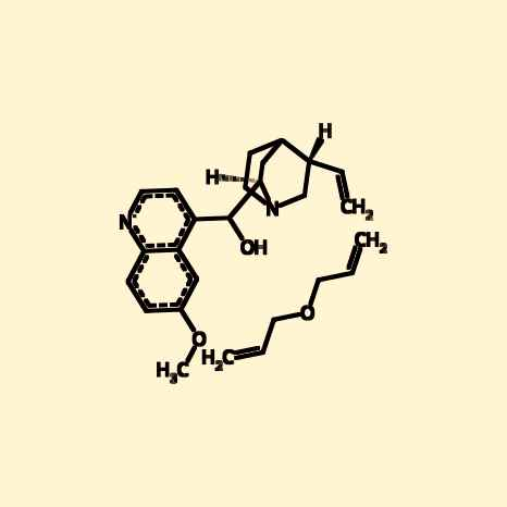 C=CCOCC=C.C=C[C@@H]1CN2CCC1C[C@@H]2C(O)c1ccnc2ccc(OC)cc12